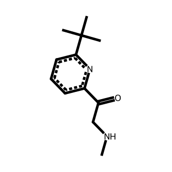 CNCC(=O)c1cccc(C(C)(C)C)n1